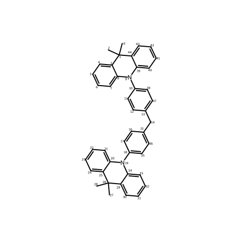 CC1(C)c2ccccc2N(c2ccc(Cc3ccc(N4c5ccccc5C(C)(C)c5ccccc54)cc3)cc2)c2ccccc21